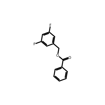 O=C(OCc1cc(F)cc(F)c1)c1ccccc1